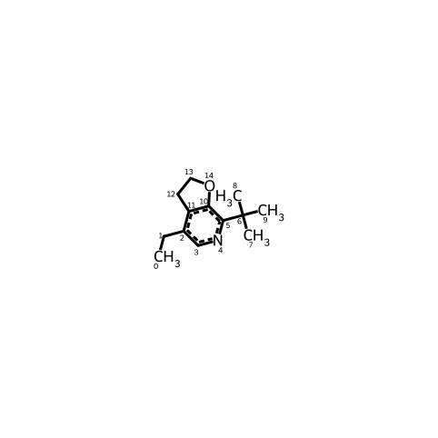 CCc1cnc(C(C)(C)C)c2c1CCO2